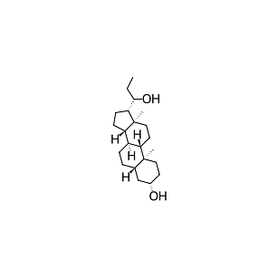 CCC(O)[C@H]1CC[C@H]2[C@@H]3CC[C@H]4C[C@@H](O)CC[C@]4(C)[C@H]3CC[C@]12C